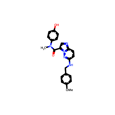 COc1ccc(CNc2ccc3ncc(C(=O)N(C)c4ccc(O)cc4)n3n2)cc1